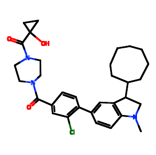 CN1CC(C2CCCCCCC2)c2cc(-c3ccc(C(=O)N4CCN(C(=O)C5(O)CC5)CC4)cc3Cl)ccc21